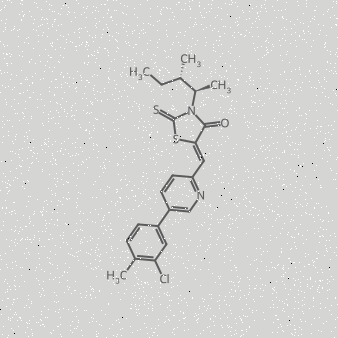 CC[C@H](C)[C@@H](C)N1C(=O)/C(=C/c2ccc(-c3ccc(C)c(Cl)c3)cn2)SC1=S